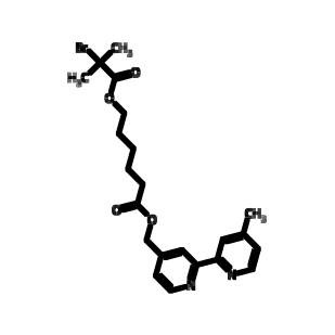 Cc1ccnc(-c2cc(COC(=O)CCCCCOC(=O)C(C)(C)Br)ccn2)c1